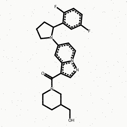 O=C(c1cnn2ccc(N3CCCC3c3cc(F)ccc3F)cc12)N1CCCC(CO)C1